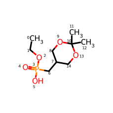 CCOP(=O)(O)CC1COC(C)(C)OC1